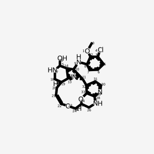 COc1c(Cl)cccc1Nc1c2[nH]c3c1C(O)NC[C@@H]3C/C=C\CC[C@@H]1CNc3nccc-2c3O1